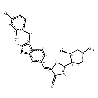 CC[C@H]1CN(C)CCN1C1=NC(=O)/C(=C/c2ccc3c(cnn3Cc3ccc(Cl)cc3C(F)(F)F)c2)S1